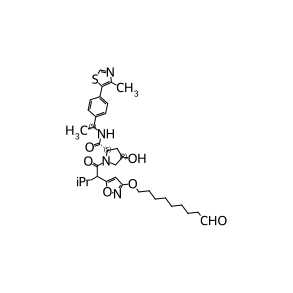 Cc1ncsc1-c1ccc([C@H](C)NC(=O)[C@@H]2C[C@@H](O)CN2C(=O)C(c2cc(OCCCCCCCCC=O)no2)C(C)C)cc1